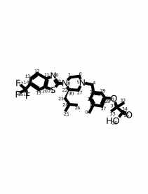 Cc1cc(CN2CCN(c3nc4ccc(C(F)(F)F)cc4s3)[C@H](CC(C)C)C2)cc(OC(C)(C)C(=O)O)c1